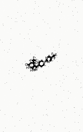 O=C1CC(O)(C(F)(F)F)c2c(C3CCN(c4ncc(C(F)(F)F)cn4)CC3)n[nH]c2N1